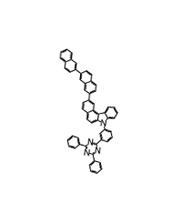 c1ccc(-c2nc(-c3ccccc3)nc(-c3cccc(-n4c5ccccc5c5c6cc(-c7ccc8ccc(-c9ccc%10ccccc%10c9)cc8c7)ccc6ccc54)c3)n2)cc1